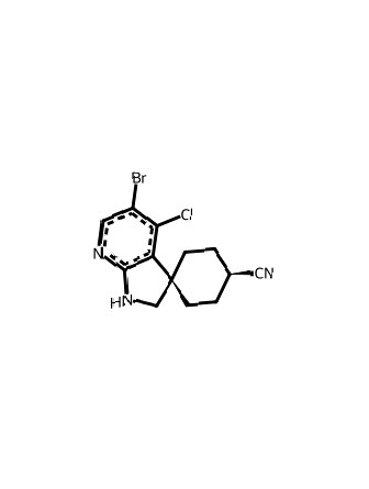 N#C[C@H]1CC[C@@]2(CC1)CNc1ncc(Br)c(Cl)c12